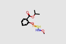 CON[SH]=POc1ccccc1C(=O)OC(C)C